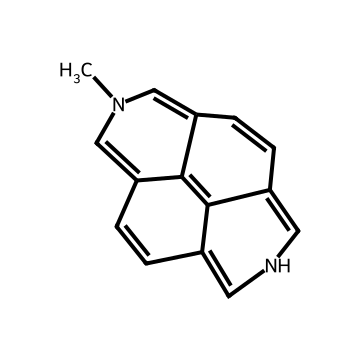 CN1C=c2ccc3c4c(ccc(c24)=C1)=CNC=3